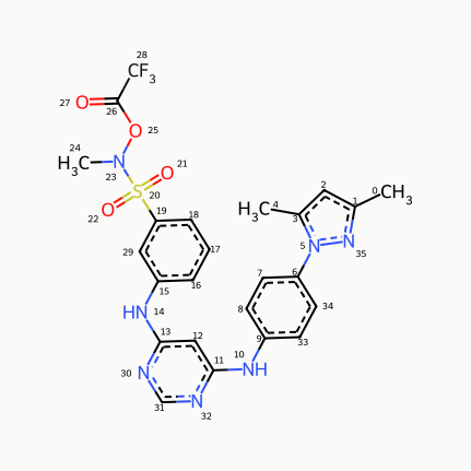 Cc1cc(C)n(-c2ccc(Nc3cc(Nc4cccc(S(=O)(=O)N(C)OC(=O)C(F)(F)F)c4)ncn3)cc2)n1